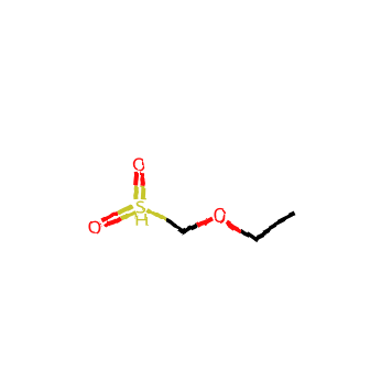 CCOC[SH](=O)=O